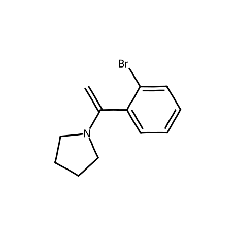 C=C(c1ccccc1Br)N1CCCC1